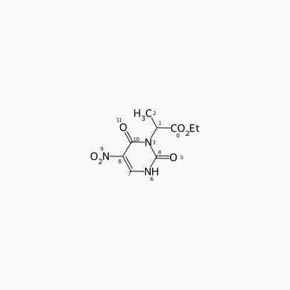 CCOC(=O)C(C)n1c(=O)[nH]cc([N+](=O)[O-])c1=O